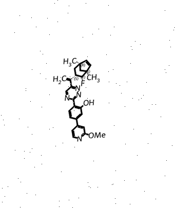 C=C(c1cnc(-c2ccc(-c3ccnc(OC)c3)cc2O)nn1)[C@@H]1C[C@@]2(C)C=C[C@](C)(C2)[C@@H]1F